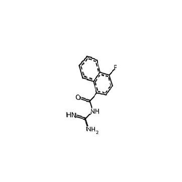 N=C(N)NC(=O)c1ccc(F)c2ccccc12